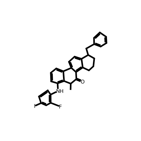 CC1C(=O)c2c(ccc3c2CCCC3Cc2ccccc2)-c2cccc(Nc3ccc(I)cc3F)c21